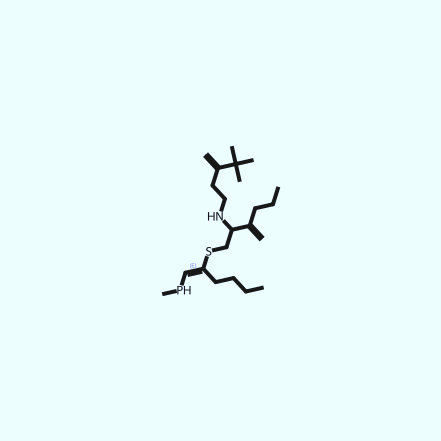 C=C(CCC)C(CS/C(=C/PC)CCCC)NCCC(=C)C(C)(C)C